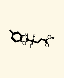 COC(=O)CCC(F)(F)c1nc2cc(C)ccc2o1